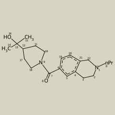 CCCN1CCc2cc(C(=O)N3CCC(C(C)(C)O)CC3)ccc2C1